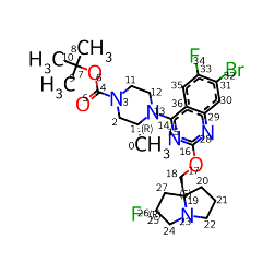 C[C@@H]1CN(C(=O)OC(C)(C)C)CCN1c1nc(OC[C@@]23CCCN2C[C@H](F)C3)nc2cc(Br)c(F)cc12